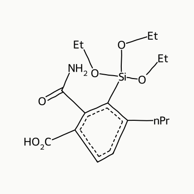 CCCc1ccc(C(=O)O)c(C(N)=O)c1[Si](OCC)(OCC)OCC